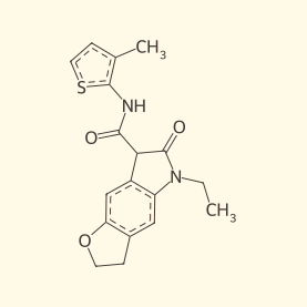 CCN1C(=O)C(C(=O)Nc2sccc2C)c2cc3c(cc21)CCO3